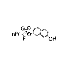 CCCC(F)S(=O)(=O)Oc1ccc2ccc(O)cc2c1